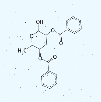 CC1OC(O)C(OC(=O)c2ccccc2)C[C@H]1OC(=O)c1ccccc1